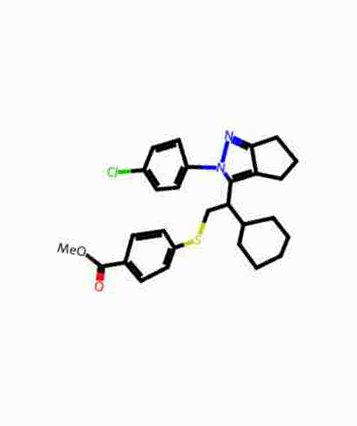 COC(=O)c1ccc(SCC(c2c3c(nn2-c2ccc(Cl)cc2)CCC3)C2CCCCC2)cc1